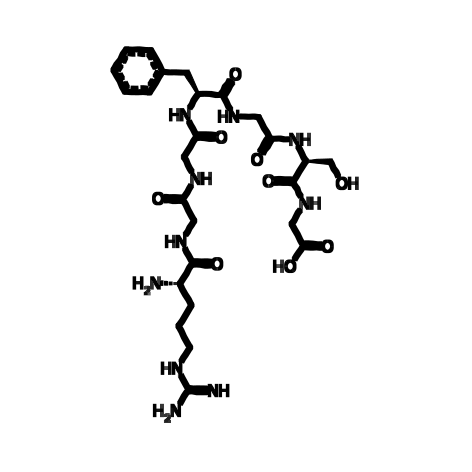 N=C(N)NCCC[C@H](N)C(=O)NCC(=O)NCC(=O)N[C@@H](Cc1ccccc1)C(=O)NCC(=O)N[C@@H](CO)C(=O)NCC(=O)O